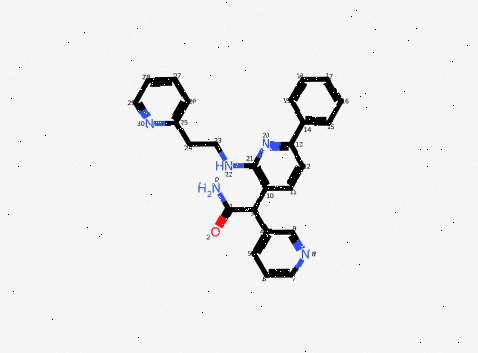 NC(=O)C(c1cccnc1)c1ccc(-c2ccccc2)nc1NCCc1ccccn1